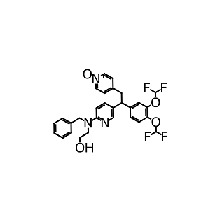 [O-][n+]1ccc(CC(c2ccc(N(CCO)Cc3ccccc3)nc2)c2ccc(OC(F)F)c(OC(F)F)c2)cc1